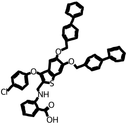 O=C(O)c1ccccc1NCc1sc2cc(OCc3ccc(-c4ccccc4)cc3)c(OCc3ccc(-c4ccccc4)cc3)cc2c1Oc1ccc(Cl)cc1